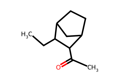 CCC1C2CCC(C2)C1C(C)=O